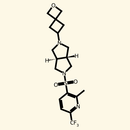 Cc1nc(C(F)(F)F)ccc1S(=O)(=O)N1C[C@H]2CN(C3CC4(COC4)C3)C[C@@H]2C1